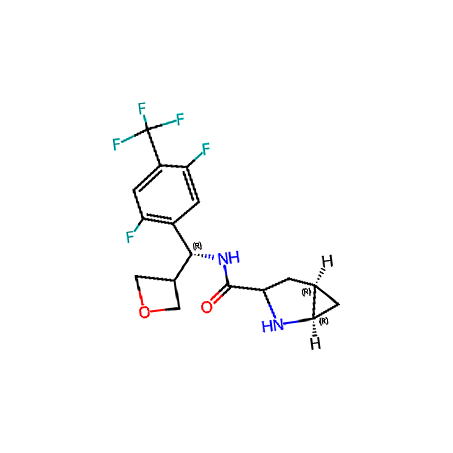 O=C(N[C@@H](c1cc(F)c(C(F)(F)F)cc1F)C1COC1)C1C[C@H]2C[C@H]2N1